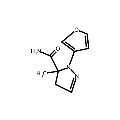 CC1(C(N)=O)CC=NN1c1ccoc1